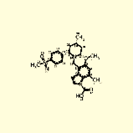 COc1cc(C)c2c(ccn2C(=O)O)c1CN1CC[C@@H](C)C[C@H]1c1ccc(S(C)(=N)=O)cc1